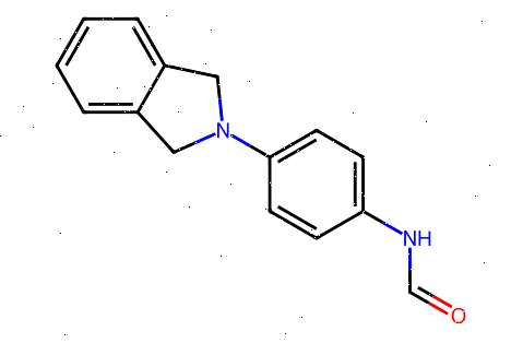 O=CNc1ccc(N2Cc3ccccc3C2)cc1